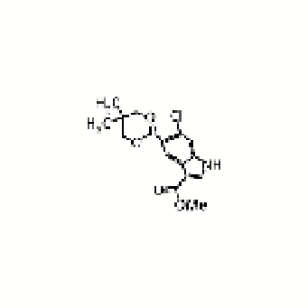 COC(=O)c1c[nH]c2cc(Cl)c(B3OCC(C)(C)CO3)cc12